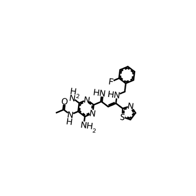 CC(=O)Nc1c(N)nc(C(=N)/C=C(\NCc2ccccc2F)c2nccs2)nc1N